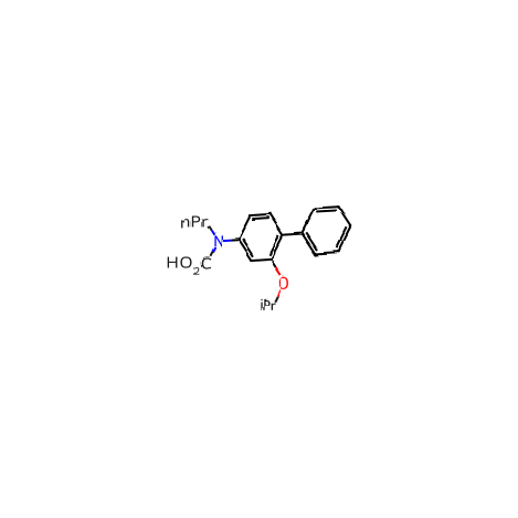 CCCN(C(=O)O)c1ccc(-c2ccccc2)c(OC(C)C)c1